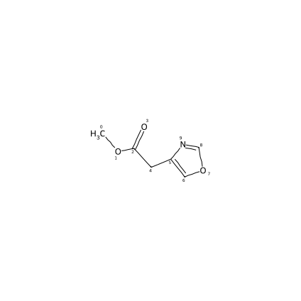 COC(=O)Cc1cocn1